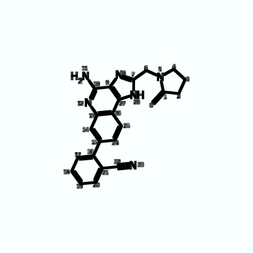 C=C1CCCN1Cc1nc2c(N)nc3cc(-c4ccccc4C#N)ccc3c2[nH]1